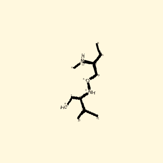 CCC(CONC(CO)C(C)C)NC